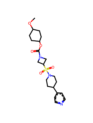 COC1CCC(OC(=O)N2CC(S(=O)(=O)N3CCC(c4ccncc4)CC3)C2)CC1